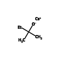 CCC(C)(C)[O-].[Cs+]